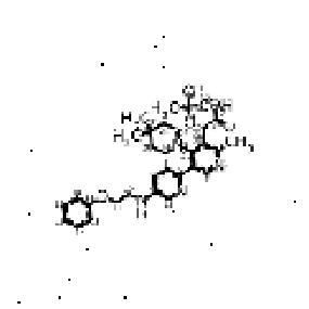 Cc1ncc(-c2ccc(NCCOc3ccccc3)cn2)c(N2CCC(C)(C)CC2)c1[C@H](OC(C)(C)C)C(=O)O